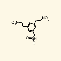 O=[N+]([O-])CCc1[c]c(CC[N+](=O)[O-])cc(C[SH](=O)=O)c1